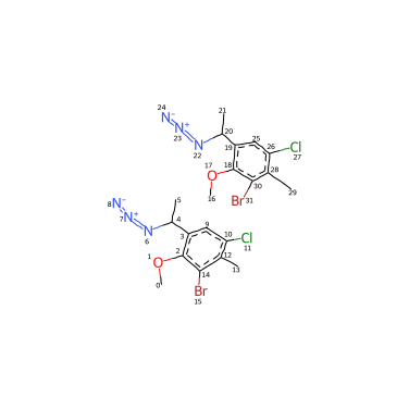 COc1c(C(C)N=[N+]=[N-])cc(Cl)c(C)c1Br.COc1c(C(C)N=[N+]=[N-])cc(Cl)c(C)c1Br